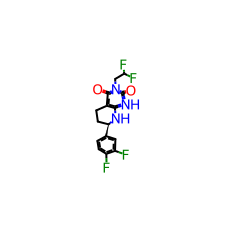 O=c1[nH]c2c(c(=O)n1CC(F)F)CC[C@H](c1ccc(F)c(F)c1)N2